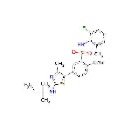 COc1ccc(-c2sc(NC(C)(C)CC(F)(F)F)nc2C)cc1S(=O)(=O)Nc1c(C)cccc1F